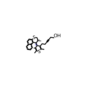 CC1=C(C)/C(=C2\c3c(ccc4ccccc34)SC[C@H]2C)C(CCC#CCCO)=C(C)S1